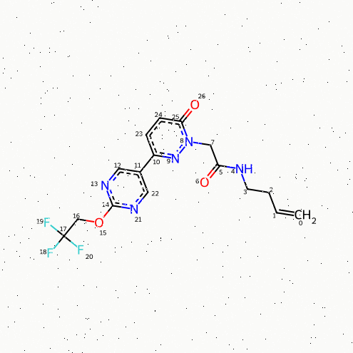 C=CCCNC(=O)Cn1nc(-c2cnc(OCC(F)(F)F)nc2)ccc1=O